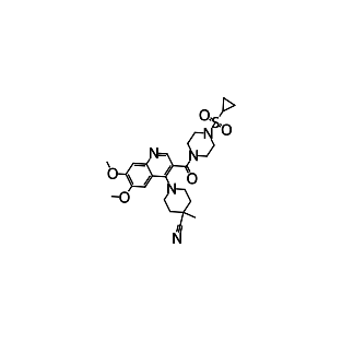 COc1cc2ncc(C(=O)N3CCN(S(=O)(=O)C4CC4)CC3)c(N3CCC(C)(C#N)CC3)c2cc1OC